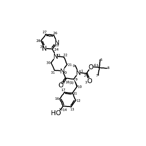 CN(C(=O)OC(C)(C)C)[C@@H](Cc1ccc(O)cc1)C(=O)N1CCN(c2ncccn2)CC1